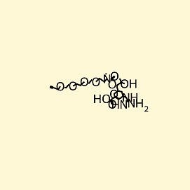 C#CCOCCOCCOCCOCCN(C)C(=O)OC(C(C)O)C1CC(NC(=N)N)C=C(C(=O)O)O1